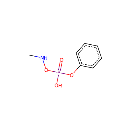 CNOP(=O)(O)Oc1ccccc1